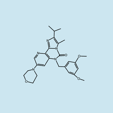 COc1cc(Cn2c(=O)n3c(C)c(C(C)C)nc3c3ncc(N4CCOCC4)cc32)cc(OC)c1